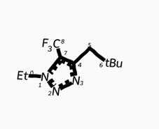 CCn1nnc(CC(C)(C)C)c1C(F)(F)F